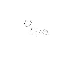 C=C(CCn1cccc1)c1ccccc1